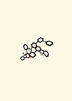 c1ccc(-c2cccc(-c3ccc(N(c4ccccc4-c4cccc5c4sc4ccccc45)c4ccccc4-c4cccc5c4sc4ccccc45)cc3)c2)cc1